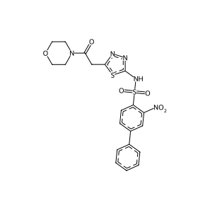 O=C(Cc1nnc(NS(=O)(=O)c2ccc(-c3ccccc3)cc2[N+](=O)[O-])s1)N1CCOCC1